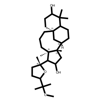 COC(C)(C)C1CC[C@](C)(C2C(O)C[C@@]3(C)[C@@H]4CCC5C(C)(C)C(O)CC[C@@]5(CCC[C@]23C)C4)O1